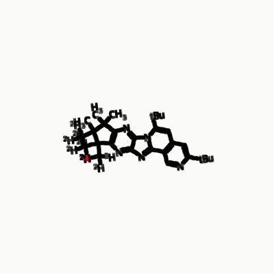 [2H]C([2H])([2H])C1(C)C(C)(C)c2nc3c(nc2C1(C([2H])([2H])[2H])C([2H])([2H])[2H])nc1c2cnc(C(C)(C)C)cc2cc(C(C)(C)C)n31